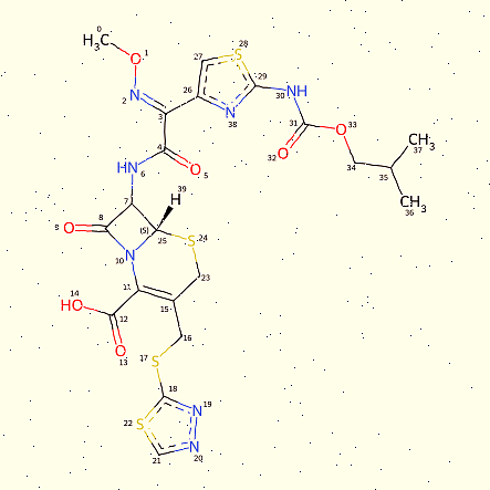 CON=C(C(=O)NC1C(=O)N2C(C(=O)O)=C(CSc3nncs3)CS[C@@H]12)c1csc(NC(=O)OCC(C)C)n1